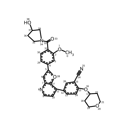 COc1cc(-c2cc3nccc(-c4ccc(OC5CCOCC5)c(C#N)c4)c3o2)ccc1C(=O)N1CCC(O)C1